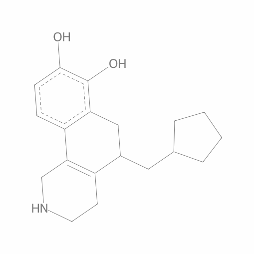 Oc1ccc2c(c1O)CC(CC1CCCC1)C1=C2CNCC1